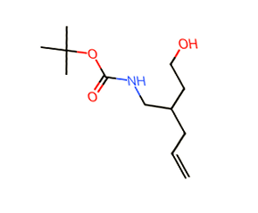 C=CCC(CCO)CNC(=O)OC(C)(C)C